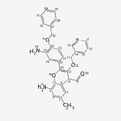 Cc1cc(N)c2c(c1)C(C=O)C(OCc1ccccc1)=C(c1ccc(OCc3ccccc3)c(N)c1)O2